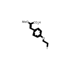 COC(=Cc1ccc(OCCI)cc1)C(=O)O